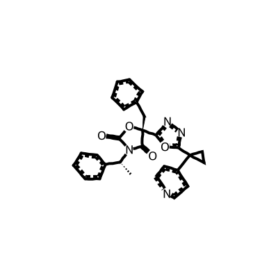 C[C@H](c1ccccc1)N1C(=O)O[C@](Cc2ccccc2)(c2nnc(C3(c4ccncc4)CC3)o2)C1=O